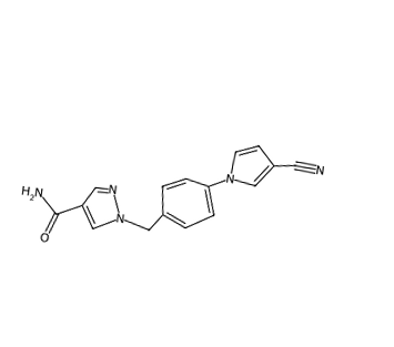 N#Cc1ccn(-c2ccc(Cn3cc(C(N)=O)cn3)cc2)c1